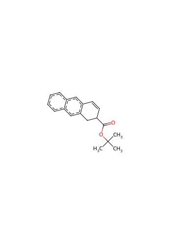 CC(C)(C)OC(=O)C1C=Cc2cc3ccccc3cc2C1